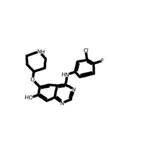 Oc1cc2ncnc(Nc3ccc(F)c(Cl)c3)c2cc1OC1CCNCC1